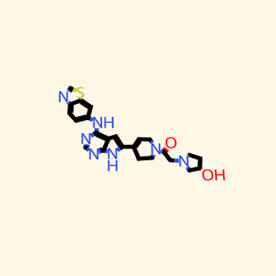 O=C(CN1CCC(O)C1)N1CC=C(c2cc3c(Nc4ccc5ncsc5c4)ncnc3[nH]2)CC1